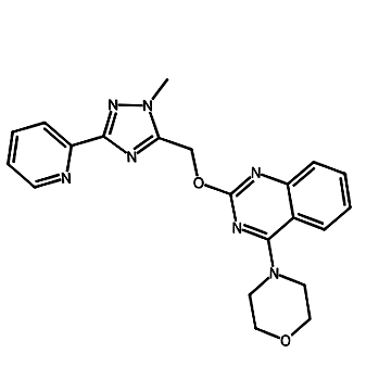 Cn1nc(-c2ccccn2)nc1COc1nc(N2CCOCC2)c2ccccc2n1